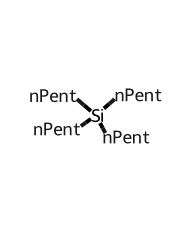 CCCCC[Si](CCCCC)(CCCCC)CCCCC